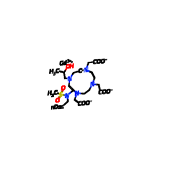 CCCCCCCCCCCN(C1CN(CC(C)O)CCN(CC(=O)[O-])CCN(CC(=O)[O-])CCN1CC(=O)[O-])S(C)(=O)=O.[Gd+3]